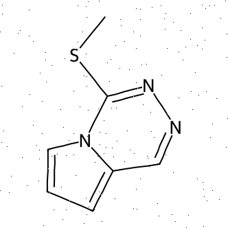 CSc1nncc2cccn12